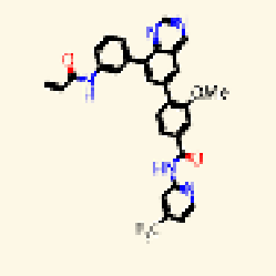 C=CC(=O)Nc1cccc(-c2cc(-c3ccc(C(=O)Nc4cc(C(F)(F)F)ccn4)cc3OC)cc3cncnc23)c1